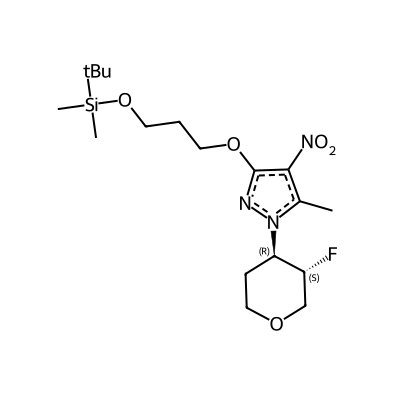 Cc1c([N+](=O)[O-])c(OCCCO[Si](C)(C)C(C)(C)C)nn1[C@@H]1CCOC[C@H]1F